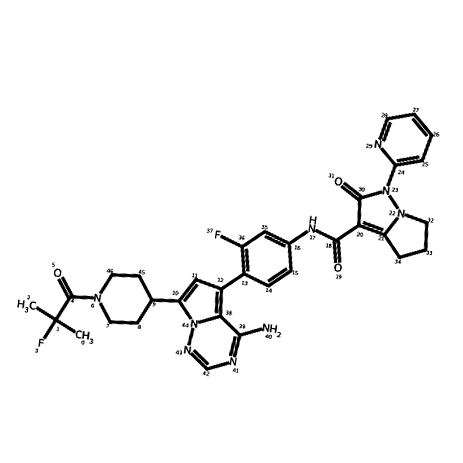 CC(C)(F)C(=O)N1CCC(c2cc(-c3ccc(NC(=O)c4c5n(n(-c6ccccn6)c4=O)CCC5)cc3F)c3c(N)ncnn23)CC1